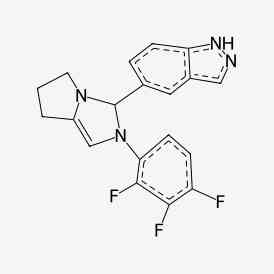 Fc1ccc(N2C=C3CCCN3C2c2ccc3[nH]ncc3c2)c(F)c1F